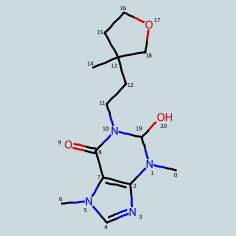 CN1c2ncn(C)c2C(=O)N(CCC2(C)CCOC2)C1O